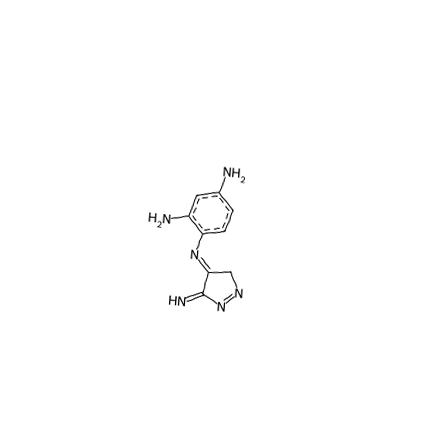 N=C1N=NCC1=Nc1ccc(N)cc1N